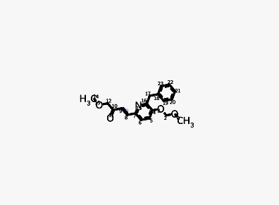 COCOc1ccc(/C=C/C(=O)COC)nc1Cc1ccccc1